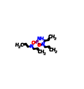 C=CCN(CC=C)OP(N)ON(CC=C)CC=C